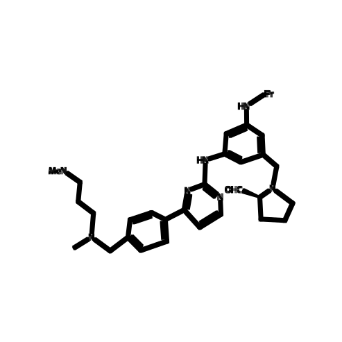 CNCCCN(C)Cc1ccc(-c2ccnc(Nc3cc(CN4CCC[C@H]4C=O)cc(NC(C)C)c3)n2)cc1